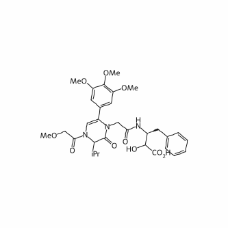 COCC(=O)N1C=C(c2cc(OC)c(OC)c(OC)c2)N(CC(=O)N[C@@H](Cc2ccccc2)C(O)C(=O)O)C(=O)C1C(C)C